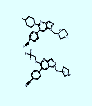 CC1CCN(c2nc3cnn(C[C@@H]4CNCCO4)c3cc2-c2ccc(C#N)cc2)CC1.N#Cc1ccc(-c2cc3c(cnn3C[C@H]3CCNC3)nc2OCC(F)(F)F)cc1